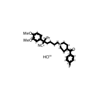 COc1ccc(C(C#N)(CCCCN2CCC(C(=O)c3ccc(F)cc3)CC2)C(C)C)cc1OC.Cl